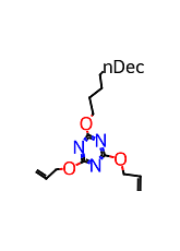 C=CCOc1nc(OCC=C)nc(OCCCCCCCCCCCCCC)n1